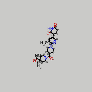 Cc1cc(C2CCC(=O)NC2=O)cnc1N1CCC(C(=O)N2CCC(C)(C(=O)N=O)CC2)CC1